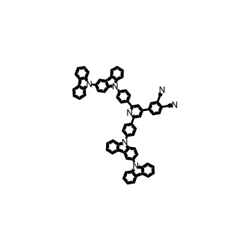 N#Cc1ccc(-c2cc(-c3ccc(-n4c5ccccc5c5cc(-n6c7ccccc7c7ccccc76)ccc54)cc3)nc(-c3ccc(-n4c5ccccc5c5cc(-n6c7ccccc7c7ccccc76)ccc54)cc3)c2)cc1C#N